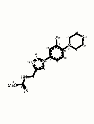 COC(=S)NCc1cn(-c2ccc(N3CCSCC3)c(F)c2)nn1